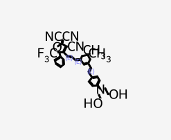 CC1(C)CC(/C=C/c2ccc(N(CCO)CCO)cc2)=CC(=C/C=C/C2=C(C#N)C(=C(C#N)C#N)OC2(c2ccccc2)C(F)(F)F)/C1